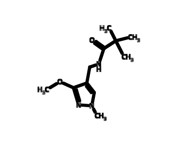 COc1nn(C)cc1CNC(=O)C(C)(C)C